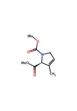 COC(=O)[C@@H]1C(C)=CCN1C(=O)OC(C)(C)C